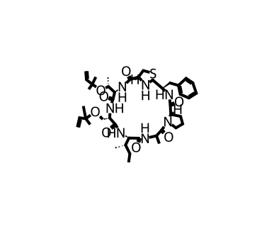 C=CC(C)(C)OC[C@@H]1NC(=O)[C@H]([C@@H](C)OC(C)(C)C=C)NC(=O)[C@@H]2CSC(N2)[C@@H](Cc2ccccc2)NC(=O)[C@@H]2CCCN2C(=O)C(C)NC(=O)[C@H]([C@@H](C)CC)NC1=O